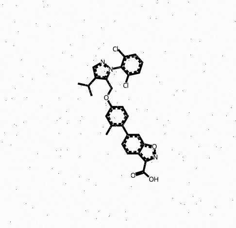 Cc1cc(OCc2c(C(C)C)cnn2-c2c(Cl)cccc2Cl)ccc1-c1ccc2c(C(=O)O)noc2c1